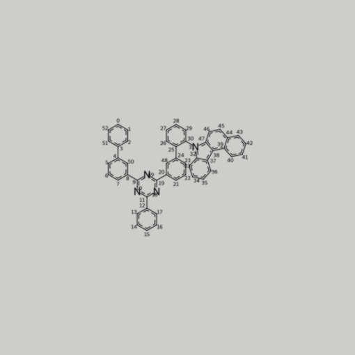 c1ccc(-c2cccc(-c3nc(-c4ccccc4)nc(-c4cccc(-c5ccccc5-n5c6ccccc6c6c7ccccc7ccc65)c4)n3)c2)cc1